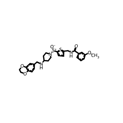 COc1cccc(C(=O)NCc2ccc([S+]([O-])N3CCC(NCc4ccc5c(c4)OCCO5)CC3)s2)c1